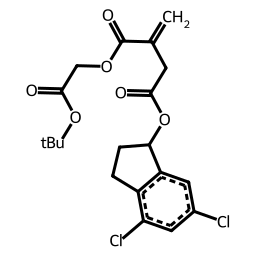 C=C(CC(=O)OC1CCc2c(Cl)cc(Cl)cc21)C(=O)OCC(=O)OC(C)(C)C